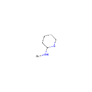 CCC(C)NC1CCCC[N]1